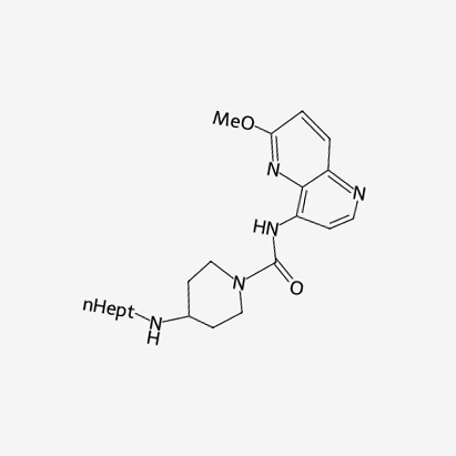 CCCCCCCNC1CCN(C(=O)Nc2ccnc3ccc(OC)nc23)CC1